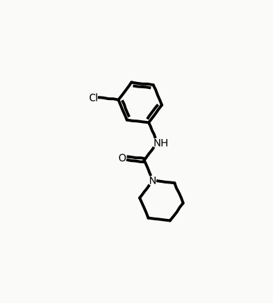 O=C(Nc1cccc(Cl)c1)N1CCCCC1